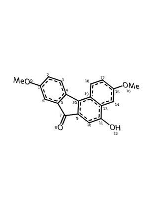 COc1ccc2c(c1)C(=O)c1cc(O)c3cc(OC)ccc3c1-2